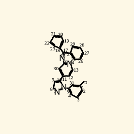 Cc1cccc(-n2nccc2-c2ccnc(N=C(c3ccccc3)c3ccccc3)c2)c1